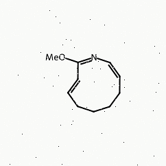 COC1=N/C=C\CCCC\C=C\1